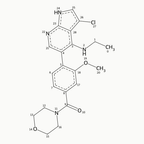 CCNc1c(-c2ccc(C(=O)N3CCOCC3)cc2OC)cnc2[nH]cc(Cl)c12